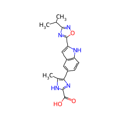 Cc1[nH]c(C(=O)O)nc1-c1ccc2[nH]c(-c3nc(C(C)C)no3)cc2c1